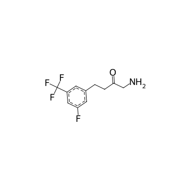 NCC(=O)CCc1cc(F)cc(C(F)(F)F)c1